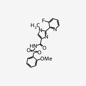 COc1ccccc1S(=O)(=O)NC(=O)c1cn(C)c(-c2ncccc2F)n1